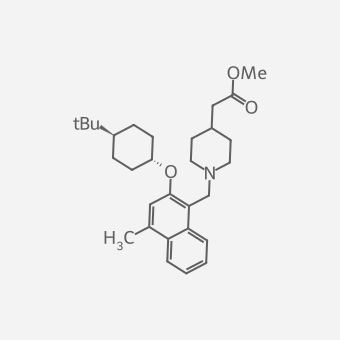 COC(=O)CC1CCN(Cc2c(O[C@H]3CC[C@H](C(C)(C)C)CC3)cc(C)c3ccccc23)CC1